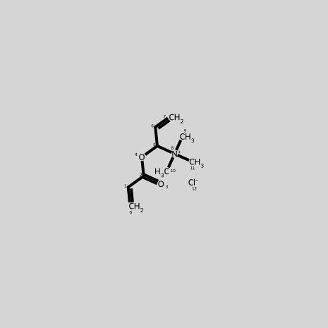 C=CC(=O)OC(C=C)[N+](C)(C)C.[Cl-]